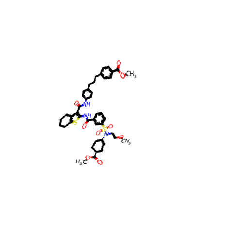 COCCN([C@H]1CC[C@H](C(=O)OC)CC1)S(=O)(=O)c1cccc(C(=O)Nc2sc3c(c2C(=O)Nc2ccc(CCCc4ccc(C(=O)OC)cc4)cc2)CCCC3)c1